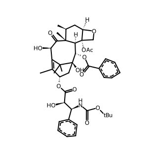 CC(=O)O[C@@]12CO[C@@H]1C[C@H](C)[C@@]1(C)C(=O)[C@H](O)C3=C(C)[C@@H](OC(=O)[C@H](O)[C@@H](NC(=O)OC(C)(C)C)c4ccccc4)C[C@@](O)([C@@H](OC(=O)c4ccccc4)[C@H]21)C3(C)C